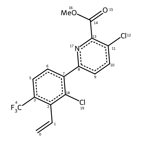 C=Cc1c(C(F)(F)F)ccc(-c2ccc(Cl)c(C(=O)OC)n2)c1Cl